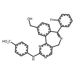 O=C(O)c1ccc(Nc2ncc3c(n2)-c2cc(CO)ccc2C(c2ccccc2F)=NC3)cc1